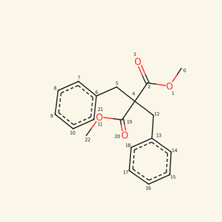 COC(=O)C(Cc1ccccc1)(Cc1ccccc1)C(=O)OC